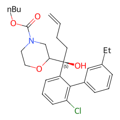 C=CCC[C@](O)(c1cccc(Cl)c1-c1cccc(CC)c1)C1CN(C(=O)OCCCC)CCO1